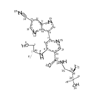 C[C@H](CO)Nc1cc(-c2cnn3cc(C#N)cnc23)ncc1C(=O)NC[C@@H](F)C(C)(C)O